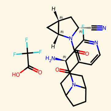 N#C[C@H]1C[C@H]2C[C@H]2N1C(=O)[C@H](N)C1CC2CCC(C1)N2C(=O)c1ccnc(F)c1.O=C(O)C(F)(F)F